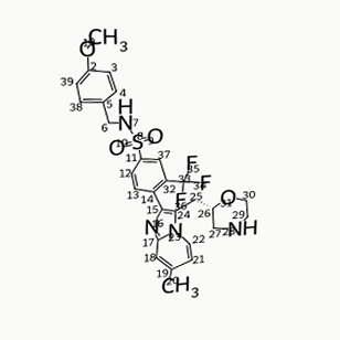 COc1ccc(CNS(=O)(=O)c2ccc(-c3nc4cc(C)ccn4c3C[C@H]3CNCCO3)c(C(F)(F)F)c2)cc1